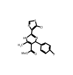 COC(=O)C1=C(C)NC(c2ncsc2Cl)=NC1c1ccc(F)cc1